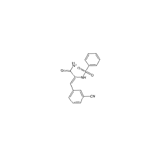 N#Cc1cccc(C=C(NS(=O)(=O)c2ccccc2)C(N)=O)c1